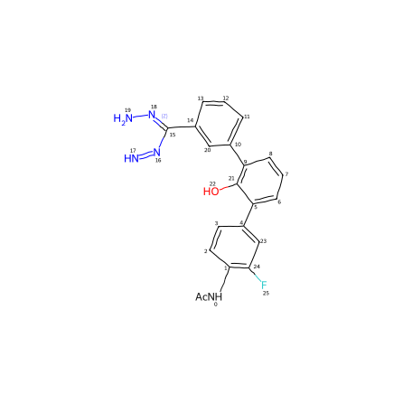 CC(=O)Nc1ccc(-c2cccc(-c3cccc(/C(N=N)=N/N)c3)c2O)cc1F